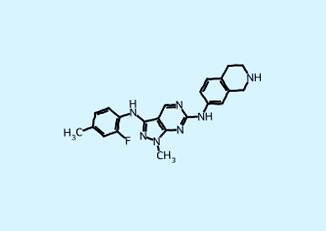 Cc1ccc(Nc2nn(C)c3nc(Nc4ccc5c(c4)CNCC5)ncc23)c(F)c1